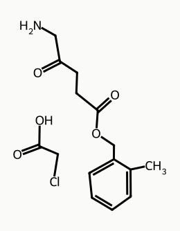 Cc1ccccc1COC(=O)CCC(=O)CN.O=C(O)CCl